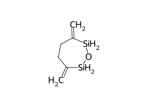 C=C1CCC(=C)[SiH2]O[SiH2]1